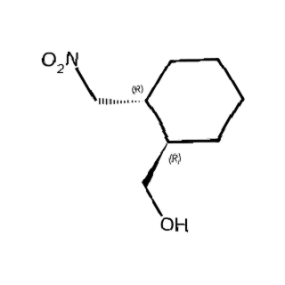 O=[N+]([O-])C[C@@H]1CCCC[C@H]1CO